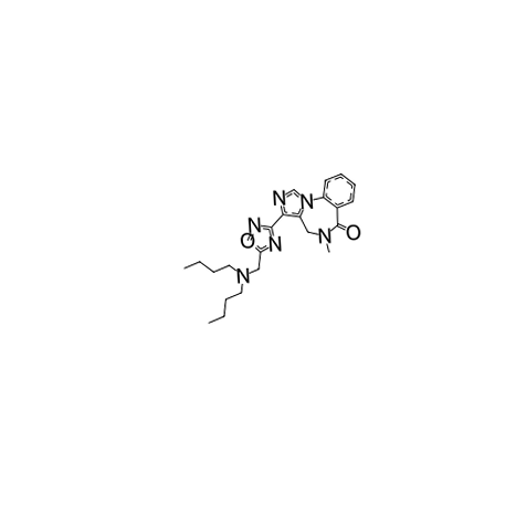 CCCCN(CCCC)Cc1nc(-c2ncn3c2CN(C)C(=O)c2ccccc2-3)no1